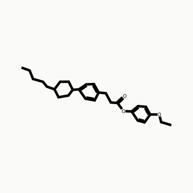 CCCCCC1CCC(c2ccc(CCC(=O)Oc3ccc(OCC)cc3)cc2)CC1